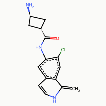 C=C1NC=Cc2cc(NC(=O)[C@H]3C[C@H](N)C3)c(Cl)cc21